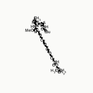 COc1nn(CCOCCOCCOCCOCCOCCOCCNC(=O)OCC[Si](C)(C)C)cc1Nc1nc(N2C[C@@H](F)[C@H](NC(=O)OC(C)(C)C)C2)nc2c1ncn2C